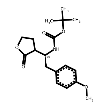 COc1ccc(C[C@H](NC(=O)OC(C)(C)C)C2CCOC2=O)cc1